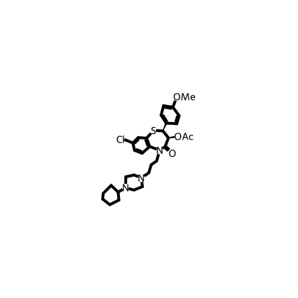 COc1ccc([C@@H]2Sc3cc(Cl)ccc3N(CCCN3CCN(C4CCCCC4)CC3)C(=O)[C@@H]2OC(C)=O)cc1